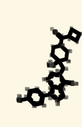 O=C(C1CCC1)N1CCC(O)(Cn2cnc3c(cnn3-c3ccc(Cl)cc3)c2=O)CC1